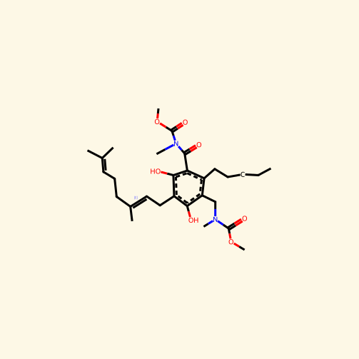 CCCCCc1c(CN(C)C(=O)OC)c(O)c(C/C=C(\C)CCC=C(C)C)c(O)c1C(=O)N(C)C(=O)OC